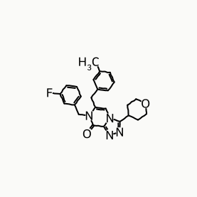 Cc1cccc(Cc2cn3c(C4CCOCC4)nnc3c(=O)n2Cc2cccc(F)c2)c1